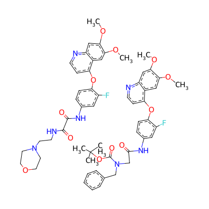 COc1cc2nccc(Oc3ccc(NC(=O)C(=O)NCCN4CCOCC4)cc3F)c2cc1OC.COc1cc2nccc(Oc3ccc(NC(=O)CN(Cc4ccccc4)C(=O)OC(C)(C)C)cc3F)c2cc1OC